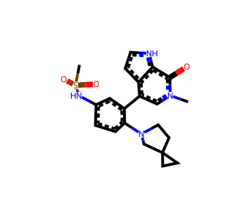 Cn1cc(-c2cc(NS(C)(=O)=O)ccc2N2CCC3(CC3)C2)c2cc[nH]c2c1=O